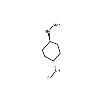 CSN[C@H]1CC[C@H](NC(C)C)CC1